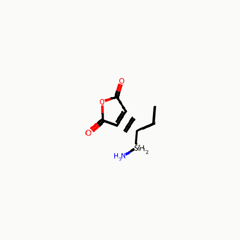 C=C.CCC[SiH2]N.O=C1C=CC(=O)O1